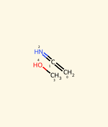 C=C=N.CO